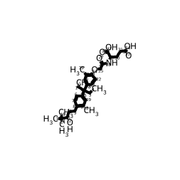 CCC(CC)(c1ccc(CC[C@H](O)C(C)(C)C)c(C)c1)c1ccc(OCC(=O)NC(CCC(=O)O)C(=O)O)c(C)c1